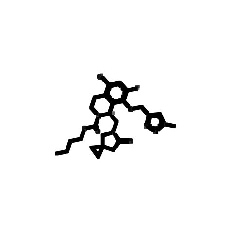 CCCCOC(=O)N1CCc2c(Cl)cc(F)c(OCc3cn(C)nn3)c2[C@H]1CN1CC2(CC2)CC1=O